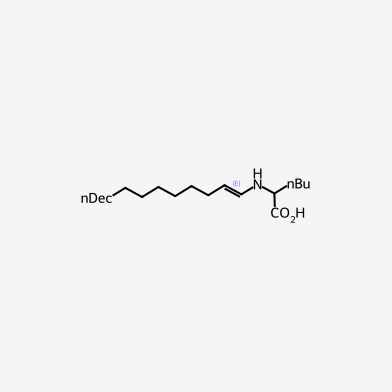 CCCCCCCCCCCCCCCC/C=C/NC(CCCC)C(=O)O